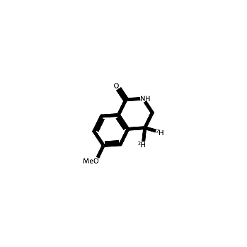 [2H]C1([2H])CNC(=O)c2ccc(OC)cc21